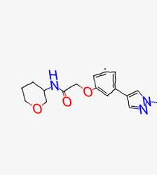 Cn1cc(-c2c[c]cc(OCC(=O)NC3CCCOC3)c2)cn1